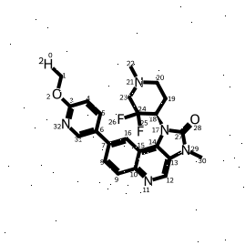 [2H]COc1ccc(-c2ccc3ncc4c(c3c2)n([C@@H]2CCN(C)CC2(F)F)c(=O)n4C)cn1